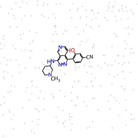 CN1CCCC(Nc2nnc(-c3ccc(C#N)cc3O)c3ccncc23)C1